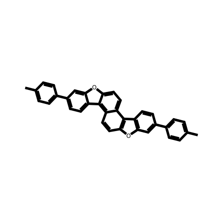 Cc1ccc(-c2ccc3c(c2)oc2ccc4c(ccc5oc6cc(-c7ccc(C)cc7)ccc6c54)c23)cc1